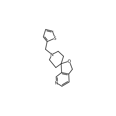 [c]1ccc(CN2CCC3(CC2)OCc2ccncc23)s1